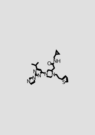 CC(C)c1cc(N2CCN(CCc3cccs3)C(CC(=O)NCC3CC3)C2)nc(-n2ccnc2)n1